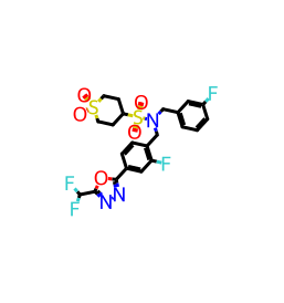 O=S1(=O)CCC(S(=O)(=O)N(Cc2cccc(F)c2)Cc2ccc(-c3nnc(C(F)F)o3)cc2F)CC1